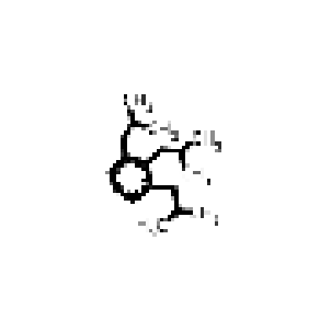 CC(C)Cc1cccc(CC(C)C)c1CC(C)C